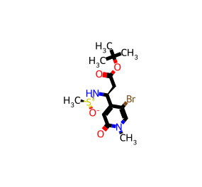 Cn1cc(Br)c([C@H](CC(=O)OC(C)(C)C)N[S@+](C)[O-])cc1=O